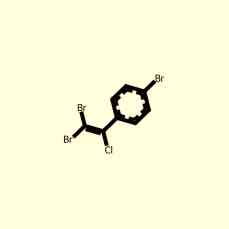 ClC(=C(Br)Br)c1ccc(Br)cc1